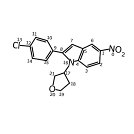 O=[N+]([O-])c1ccc2c(c1)cc(-c1ccc(Cl)cc1)n2C1CCOC1